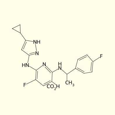 CC(Nc1nc(Nc2cc(C3CC3)[nH]n2)c(F)cc1C(=O)O)c1ccc(F)cc1